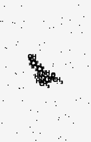 CNC1=C(C(=N)Nc2ccc(-c3ccc(CO)cc3)cc2)CN(C(C)=O)CC1